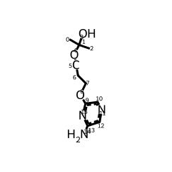 CC(C)(O)OCCCOc1cncc(N)n1